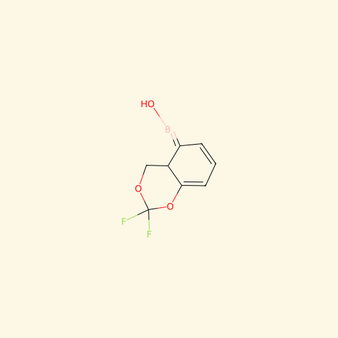 O/B=C1\C=CC=C2OC(F)(F)OCC21